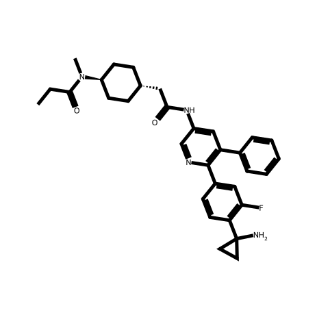 CCC(=O)N(C)[C@H]1CC[C@H](CC(=O)Nc2cnc(-c3ccc(C4(N)CC4)c(F)c3)c(-c3ccccc3)c2)CC1